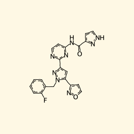 O=C(Nc1ccnc(-c2cc(-c3ccon3)n(Cc3ccccc3F)n2)n1)c1cc[nH]n1